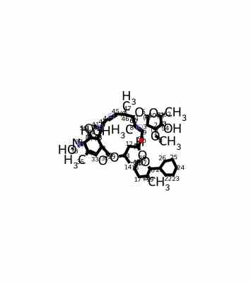 CO[C@H]1C[C@H](O[C@@H]2/C(C)=C/C[C@@H]3CC(C[C@]4(CC[C@H](C)C(C5CCCCC5)O4)O3)OC(=O)C3C=C(C)/C(=N\O)[C@H]4OC/C(=C\C=C\[C@@H]2C)[C@@]34O)O[C@@H](C)[C@@H]1O